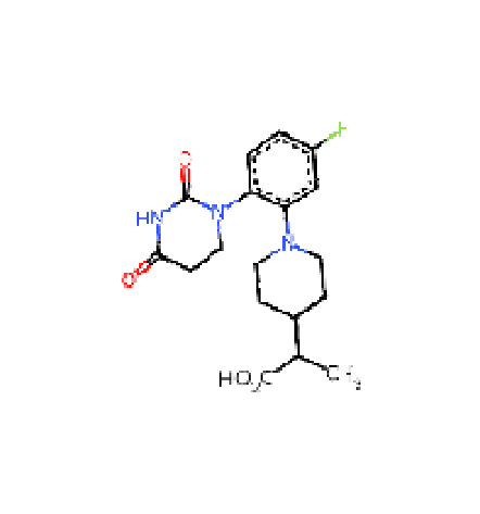 CC(C(=O)O)C1CCN(c2cc(F)ccc2N2CCC(=O)NC2=O)CC1